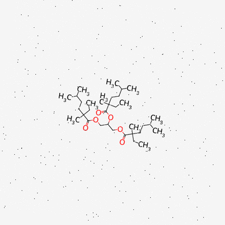 CCC(C)(CCC(C)C)C(=O)OCC(COC(=O)C(C)(CC)CCC(C)C)OC(=O)C(C)(CC)CCC(C)C